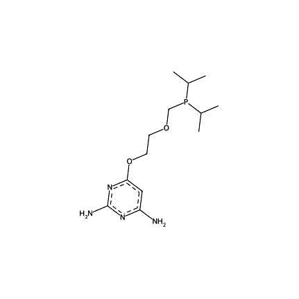 CC(C)P(COCCOc1cc(N)nc(N)n1)C(C)C